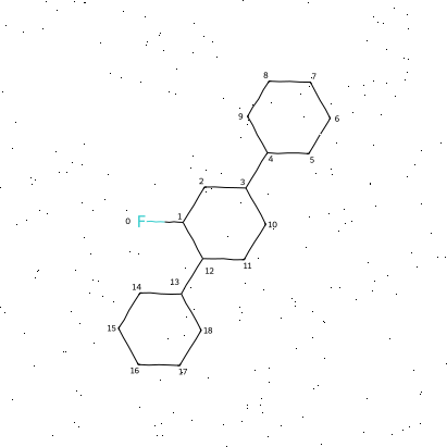 FC1CC(C2CCCCC2)CCC1C1CCCCC1